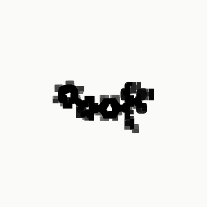 CON(C(=O)O)C(C)c1ccc(-n2nnc(-c3ccccn3)n2)cc1